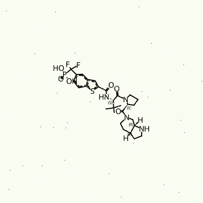 CC(C)(C)[C@H](NC(=O)c1cc2cc(C(F)(F)P(=O)(O)O)ccc2s1)C(=O)N1CCC[C@H]1C(=O)N1CC[C@H]2CCN[C@H]2C1